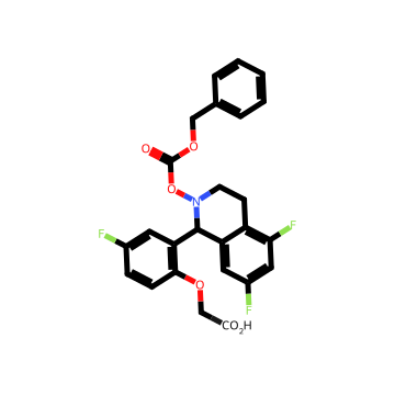 O=C(O)COc1ccc(F)cc1C1c2cc(F)cc(F)c2CCN1OC(=O)OCc1ccccc1